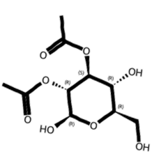 CC(=O)O[C@@H]1[C@@H](OC(C)=O)[C@H](O)[C@@H](CO)O[C@H]1O